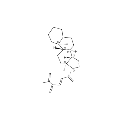 C=C(C)C(=C)C=CC(=C)[C@H]1CC[C@H]2[C@@H]3CCC4CCCC[C@]4(C)[C@H]3CC[C@]12C